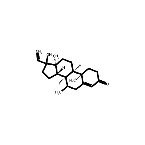 C=CC1(O)CC[C@H]2[C@@H]3C(C)CC4=CC(=O)CC[C@]4(C)[C@@H]3CC[C@@]21C